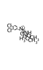 CC(C)(C)OC(=O)NC(=O)[C@@H]1CCCN1Cc1ccc(Cl)c(Cl)c1